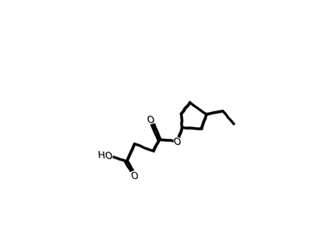 CCC1CCC(OC(=O)CCC(=O)O)C1